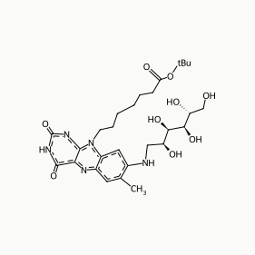 Cc1cc2nc3c(=O)[nH]c(=O)nc-3n(CCCCCCC(=O)OC(C)(C)C)c2cc1NC[C@H](O)[C@@H](O)[C@H](O)[C@H](O)CO